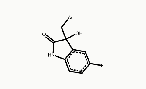 CC(=O)CC1(O)C(=O)Nc2ccc(F)cc21